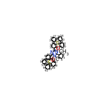 Cc1cccc(C)c1-c1nc(-c2cccc3c2Oc2ccccc2S3(c2ccccc2)c2ccccc2)nc(-c2cccc3c2Oc2ccccc2S3(c2ccccc2)c2ccccc2)n1